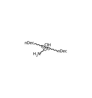 CCCCCCCCCCCCCCCCOCC(COCCCCCCCCCCCCCCCC)OCCCCN.Cl